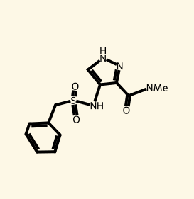 CNC(=O)c1n[nH]cc1NS(=O)(=O)Cc1ccccc1